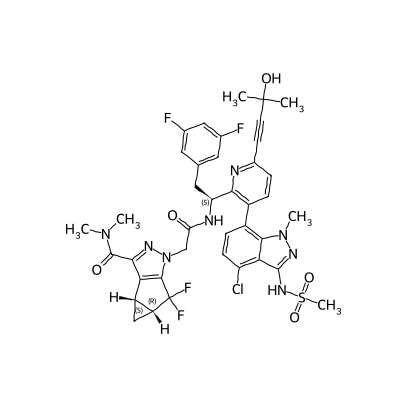 CN(C)C(=O)c1nn(CC(=O)N[C@@H](Cc2cc(F)cc(F)c2)c2nc(C#CC(C)(C)O)ccc2-c2ccc(Cl)c3c(NS(C)(=O)=O)nn(C)c23)c2c1[C@H]1C[C@H]1C2(F)F